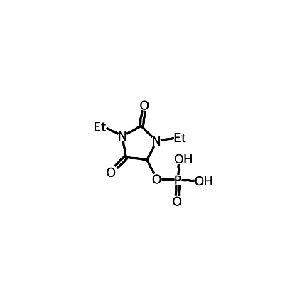 CCN1C(=O)C(OP(=O)(O)O)N(CC)C1=O